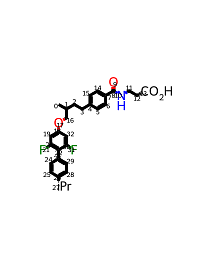 CC(CCc1ccc(C(=O)NCCC(=O)O)cc1)COc1cc(F)c(-c2ccc(C(C)C)cc2)c(F)c1